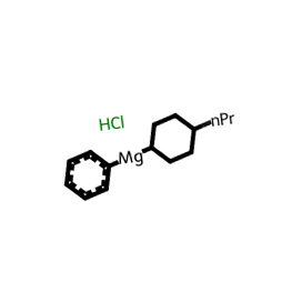 CCCC1CC[CH]([Mg][c]2ccccc2)CC1.Cl